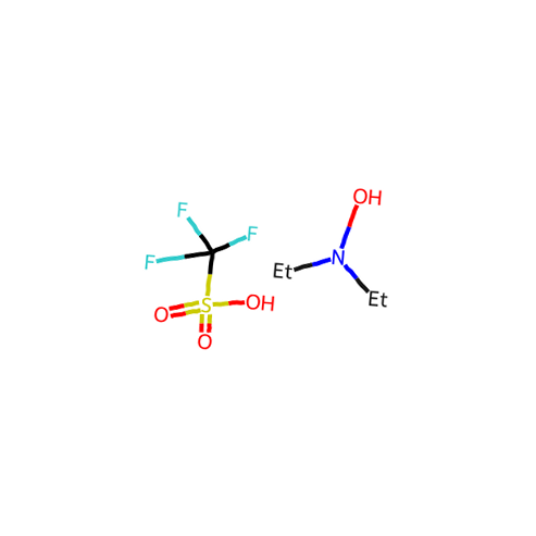 CCN(O)CC.O=S(=O)(O)C(F)(F)F